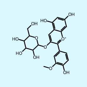 COc1cc(-c2[o+]c3cc(O)cc(O)c3cc2OC2OC(CO)C(O)C(O)C2O)ccc1O